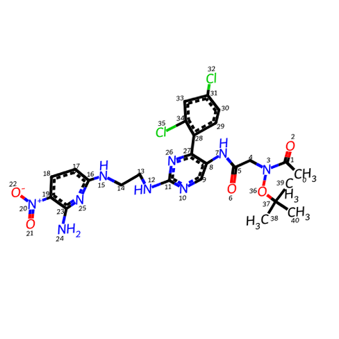 CC(=O)N(CC(=O)Nc1cnc(NCCNc2ccc([N+](=O)[O-])c(N)n2)nc1-c1ccc(Cl)cc1Cl)OC(C)(C)C